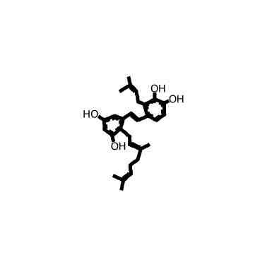 CC(C)=CCC/C(C)=C/Cc1c(O)cc(O)cc1/C=C/c1ccc(O)c(O)c1CC=C(C)C